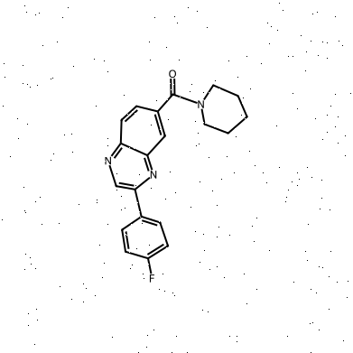 O=C(c1ccc2ncc(-c3ccc(F)cc3)nc2c1)N1CCCCC1